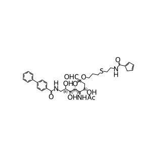 CC(=O)N[C@H]1[C@H]([C@H](O)[C@H](O)CNC(=O)c2ccc(-c3ccccc3)cc2)O[C@](C=O)(OCCCSCCNC(=O)C2=CC=CC2)C[C@@H]1O